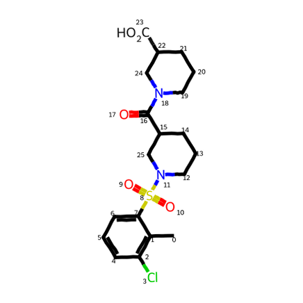 Cc1c(Cl)cccc1S(=O)(=O)N1CCCC(C(=O)N2CCCC(C(=O)O)C2)C1